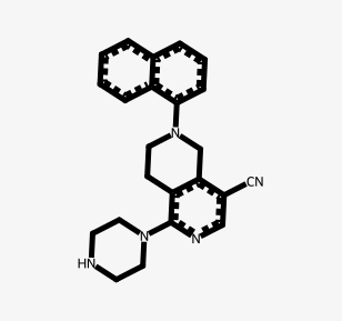 N#Cc1cnc(N2CCNCC2)c2c1CN(c1cccc3ccccc13)CC2